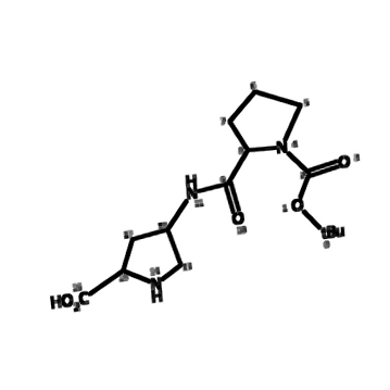 CC(C)(C)OC(=O)N1CCCC1C(=O)NC1CNC(C(=O)O)C1